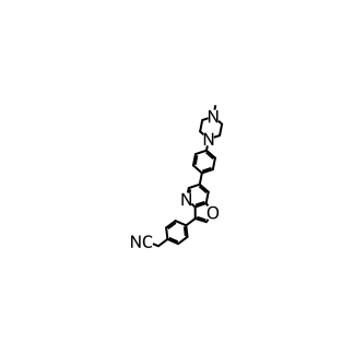 CN1CCN(c2ccc(-c3cnc4c(-c5ccc(CC#N)cc5)coc4c3)cc2)CC1